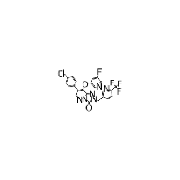 O=c1n(Cc2ccc(C(F)(F)F)nc2)nc2c(Oc3cncc(F)c3)c(-c3ccc(Cl)cc3)cnn12